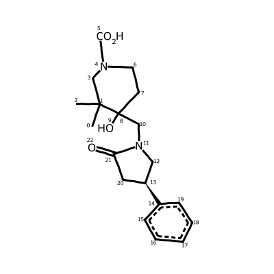 CC1(C)CN(C(=O)O)CCC1(O)CN1C[C@@H](c2ccccc2)CC1=O